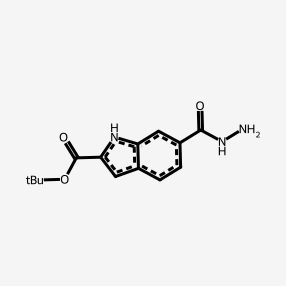 CC(C)(C)OC(=O)c1cc2ccc(C(=O)NN)cc2[nH]1